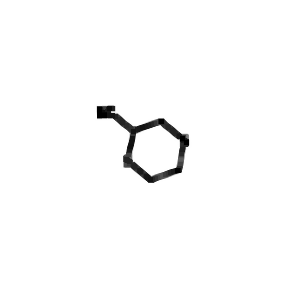 N#C[C]1CSCCS1